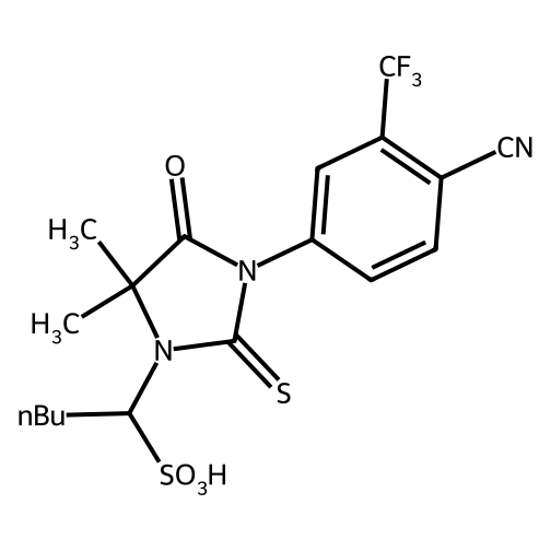 CCCCC(N1C(=S)N(c2ccc(C#N)c(C(F)(F)F)c2)C(=O)C1(C)C)S(=O)(=O)O